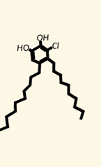 CCCCCCCCCCc1cc(O)c(O)c(Cl)c1CCCCCCCCCC